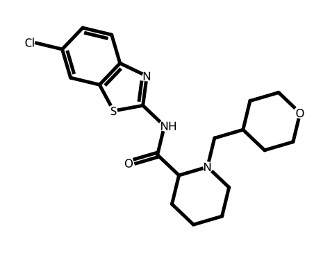 O=C(Nc1nc2ccc(Cl)cc2s1)C1CCCCN1CC1CCOCC1